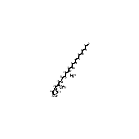 CCCCCCCCCCCCCCCCSCC(CN1C=CSC1)OC.I